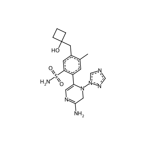 Cc1cc(C2=CN=C(N)CN2n2cncn2)c(S(N)(=O)=O)cc1CC1(O)CCC1